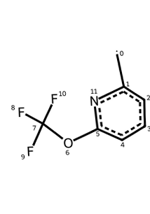 [CH2]c1cccc(OC(F)(F)F)n1